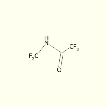 O=C(NC(F)(F)F)C(F)(F)F